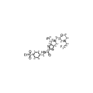 CCS(=O)(=O)c1ccc(CNC(=O)c2nc3c(s2)CN(CC2CN(CC(F)(F)F)CCO2)[C@H]3C(C)C)cc1